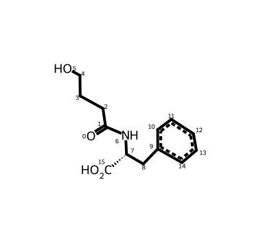 O=C(CCCO)N[C@H](Cc1ccccc1)C(=O)O